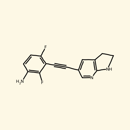 Nc1ccc(F)c(C#Cc2cnc3c(c2)CCN3)c1F